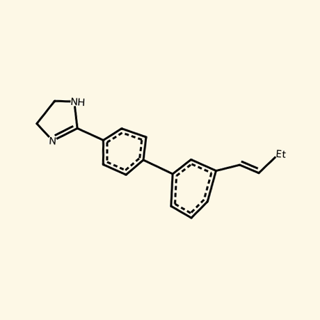 CCC=Cc1cccc(-c2ccc(C3=NCCN3)cc2)c1